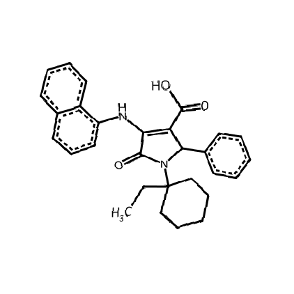 CCC1(N2C(=O)C(Nc3cccc4ccccc34)=C(C(=O)O)C2c2ccccc2)CCCCC1